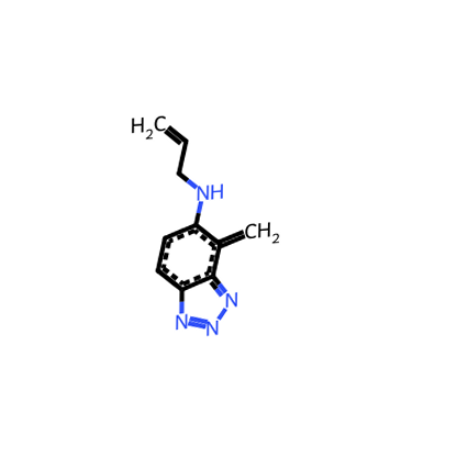 C=CCNc1ccc2c(c1=C)=NN=N2